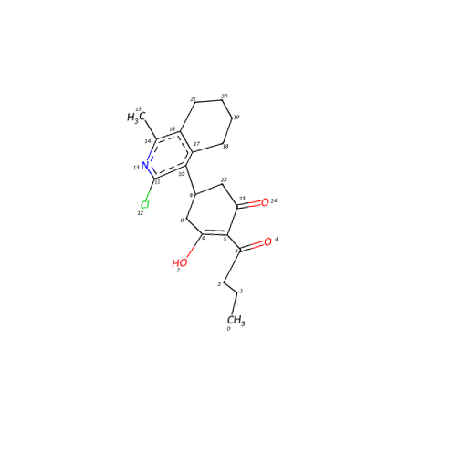 CCCC(=O)C1=C(O)CC(c2c(Cl)nc(C)c3c2CCCC3)CC1=O